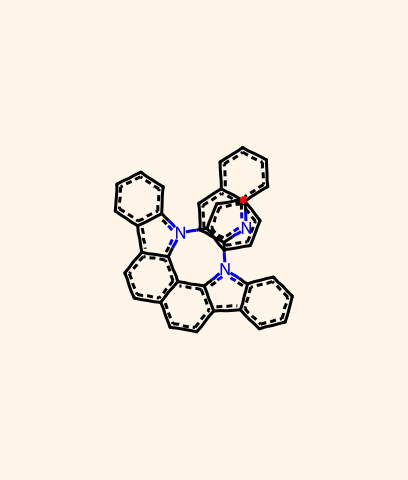 c1ccc(-n2c3ccccc3c3ccc4ccc5c6ccccc6n(-c6ccc7ccccc7n6)c5c4c32)cc1